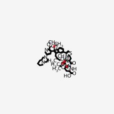 CCn1c(-c2cc(N3CCN4CCCCC4C3)cnc2[C@H](C)OC)c(CC(C)(C)COC(C)=O)c2cc(-c3csc(CC(NC(=O)OC(C)(C)C)C(=O)N4CCCC(C(=O)O)N4)n3)ccc21